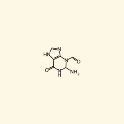 NC1NC(=O)c2[nH]cnc2N1C=O